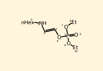 CCCCCCNC=COP(=O)(OCC)OCC